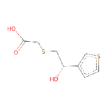 O=C(O)CSC[C@@H](O)c1ccsc1